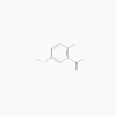 COc1ccc(C)c(C(=O)Cl)c1